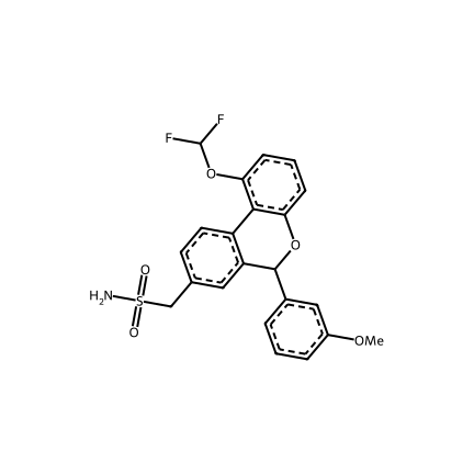 COc1cccc(C2Oc3cccc(OC(F)F)c3-c3ccc(CS(N)(=O)=O)cc32)c1